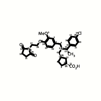 COc1cc(CN(C[C@@H]2CC[C@@H](C(=O)O)C2)[C@@H](C)c2ccc(Cl)cc2)ccc1OCCN1C(=O)CCC1=O